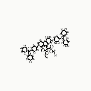 CCOC(=O)C(C(=O)OCC)=C1c2cc(-c3ccc(N(c4ccccc4)c4ccccc4)cc3)ccc2-c2ccc(-c3ccc(N(c4ccccc4)c4ccccc4)cc3)cc21